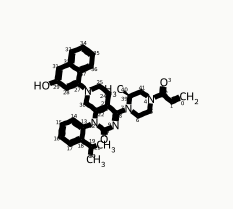 C=CC(=O)N1CCN(c2nc(=O)n(-c3ccccc3C(C)C)c3c2CCN(c2cc(O)cc4ccccc24)C3)[C@@H](C)C1